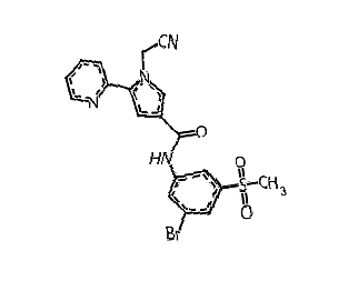 CS(=O)(=O)c1cc(Br)cc(NC(=O)c2cc(-c3ccccn3)n(CC#N)c2)c1